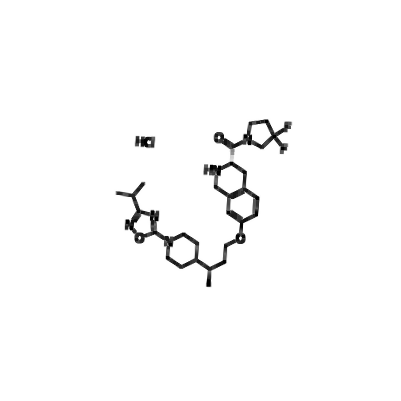 CC(C)c1noc(N2CCC([C@H](C)CCOc3ccc4c(c3)CN[C@H](C(=O)N3CCC(F)(F)C3)C4)CC2)n1.Cl